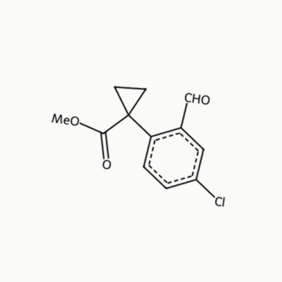 COC(=O)C1(c2ccc(Cl)cc2C=O)CC1